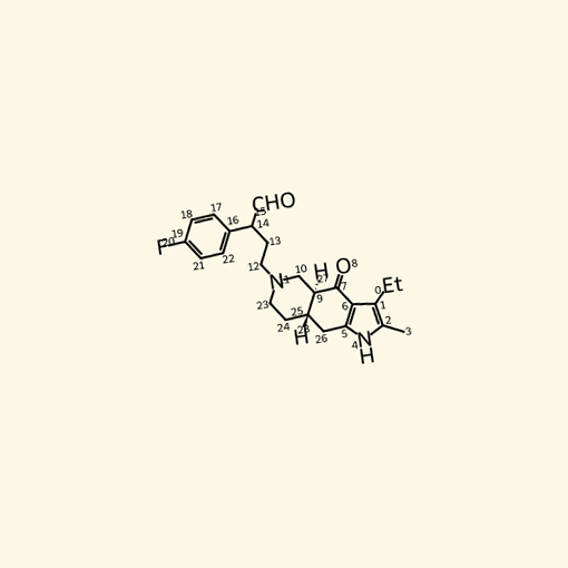 CCc1c(C)[nH]c2c1C(=O)[C@@H]1CN(CCC(C=O)c3ccc(F)cc3)CC[C@H]1C2